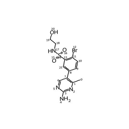 Cc1nc(N)ncc1-c1ccc(Br)c(S(=O)(=O)NCCO)c1